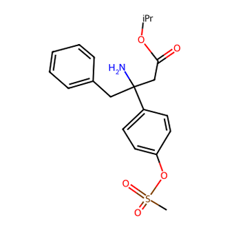 CC(C)OC(=O)CC(N)(Cc1ccccc1)c1ccc(OS(C)(=O)=O)cc1